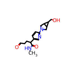 CNC(=O)C(CCC=O)c1ccc(N2CC3C(CO)C3C2)nc1